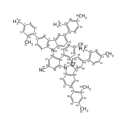 Cc1ccc(-c2ccc3c(c2)c2cc(-c4ccc(C)cc4C)ccc2n3-c2cc(C#N)cc(-n3c4ccc(-c5ccc(C)cc5C)cc4c4cc(-c5ccc(C)cc5C)ccc43)c2-c2ccc(C(F)(F)F)cc2C(F)(F)F)c(C)c1